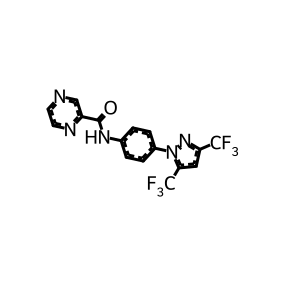 O=C(Nc1ccc(-n2nc(C(F)(F)F)cc2C(F)(F)F)cc1)c1cnccn1